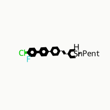 CCCCC[Si@H]1CC[C@H](CC[C@H]2CC[C@H](c3ccc(-c4ccc(Cl)c(F)c4)cc3)CC2)CC1